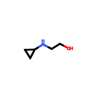 OCCNC1CC1